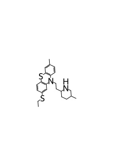 CCSc1ccc2c(c1)N(CCC1CCC(C)CN1)c1ccc(C)cc1S2